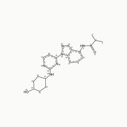 CC(C)C(=O)Nc1cccc2c1cnn2-c1ccnc(NC2CCC(O)CC2)n1